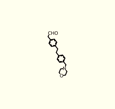 O=CCc1ccc(CCc2ccc(CN3CCOCC3)cc2)cc1